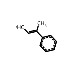 [CH]C=C(C)c1ccccc1